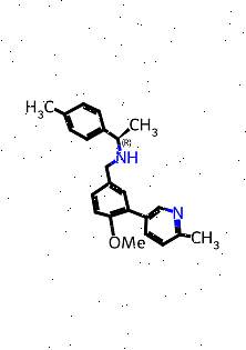 COc1ccc(CN[C@H](C)c2ccc(C)cc2)cc1-c1ccc(C)nc1